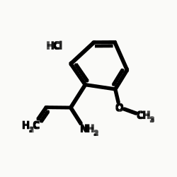 C=CC(N)c1ccccc1OC.Cl